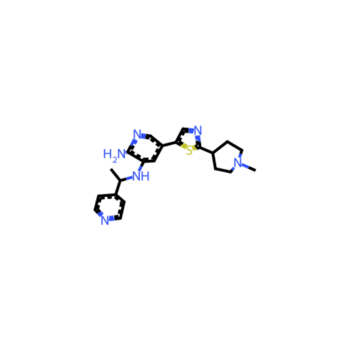 CC(Nc1cc(-c2cnc(C3CCN(C)CC3)s2)cnc1N)c1ccncc1